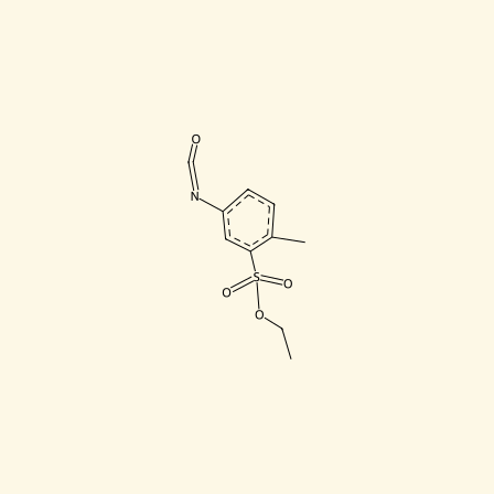 CCOS(=O)(=O)c1cc(N=C=O)ccc1C